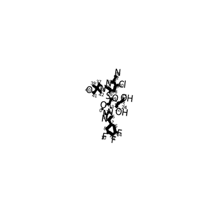 CO[C@@H](Cn1cc(-c2cc(F)c(F)c(F)c2)nn1)C(OC(CO)[C@@H](C)O)Sc1cc(Cl)c(C#N)nc1N1CC2(COC2)C1